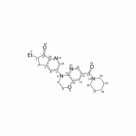 CCC1Cc2cc(N3CCOc4cc(C(=O)N5CCCCC5)cnc43)cnc2C1=O